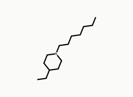 CCCCCCCN1CCC(CC)CC1